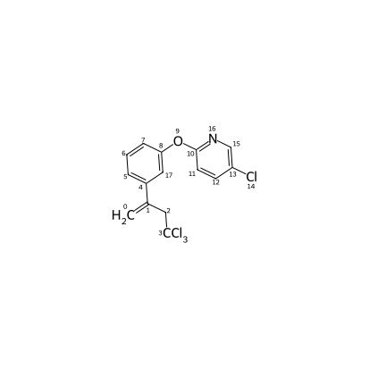 C=C(CC(Cl)(Cl)Cl)c1cccc(Oc2ccc(Cl)cn2)c1